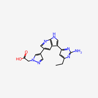 CCc1cc(-c2c[nH]c3ncc(-c4cnn(CC(=O)O)c4)cc23)nc(N)n1